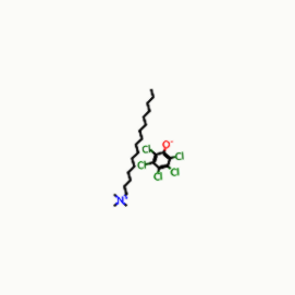 CCCCCCCCCCCCCCCC[N+](C)(C)C.[O-]c1c(Cl)c(Cl)c(Cl)c(Cl)c1Cl